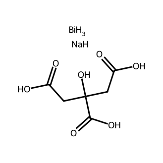 O=C(O)CC(O)(CC(=O)O)C(=O)O.[BiH3].[NaH]